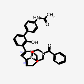 CC(=O)Nc1ccc(-c2cccc(/C3=C/C(N4CCN(C(=O)c5ccccc5)CC4)=C/CCCO3)c2O)cc1